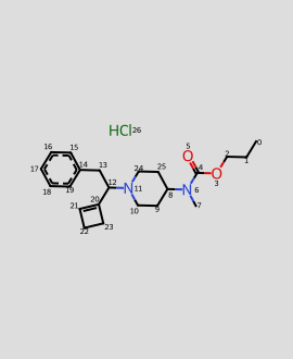 CCCOC(=O)N(C)C1CCN(C(Cc2ccccc2)C2=CCC2)CC1.Cl